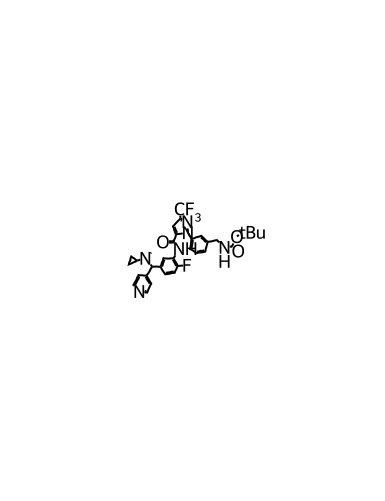 CN(C1CC1)C(c1ccncc1)c1ccc(F)c(NC(=O)c2cc(C(F)(F)F)nn2-c2cccc(CNC(=O)OC(C)(C)C)c2)c1